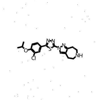 CC(C)Oc1ccc(-c2nnc(-n3cc4c(n3)CCNCC4)s2)cc1Cl